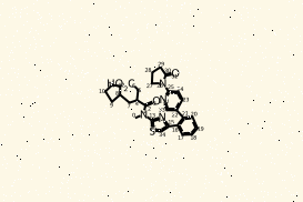 CN(C(=O)C(CC(=O)O)CC1CCCC1)c1nc(-c2ccccc2-c2ccc(N3CCCC3=O)nc2)cs1